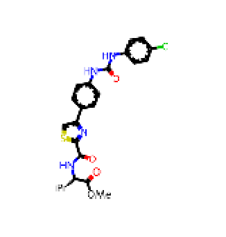 COC(=O)C(NC(=O)c1nc(-c2ccc(NC(=O)Nc3ccc(Cl)cc3)cc2)cs1)C(C)C